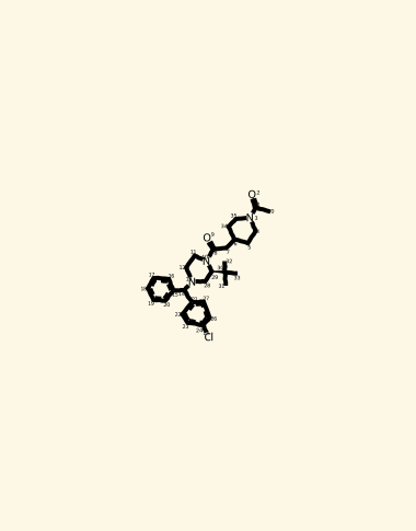 CC(=O)N1CCC(CC(=O)N2CCN(C(c3ccccc3)c3ccc(Cl)cc3)C[C@@H]2C(C)(C)C)CC1